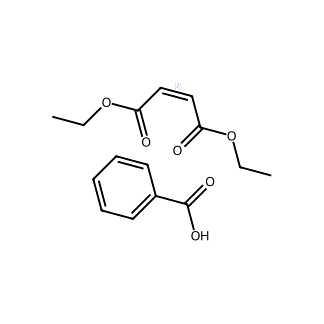 CCOC(=O)/C=C\C(=O)OCC.O=C(O)c1ccccc1